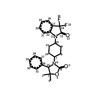 CC1(C)OC(=O)N(C2CCC(N3C(=O)C(F)(F)c4ccccc43)CC2)C1c1ccccc1